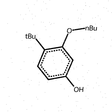 CCCCOc1cc(O)ccc1C(C)(C)C